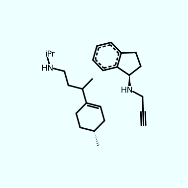 C#CCN[C@@H]1CCc2ccccc21.CC(C)NCCC(C)C1=CC[C@H](C)CC1